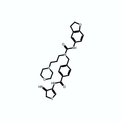 N=C1CSC=C1NC(=O)c1ccc(CN(CCCN2CCOCC2)C(=O)Nc2ccc3c(c2)CCO3)cc1